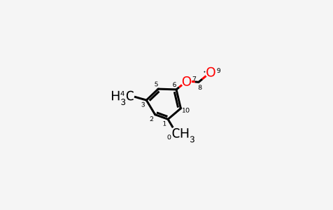 Cc1cc(C)cc(OC[O])c1